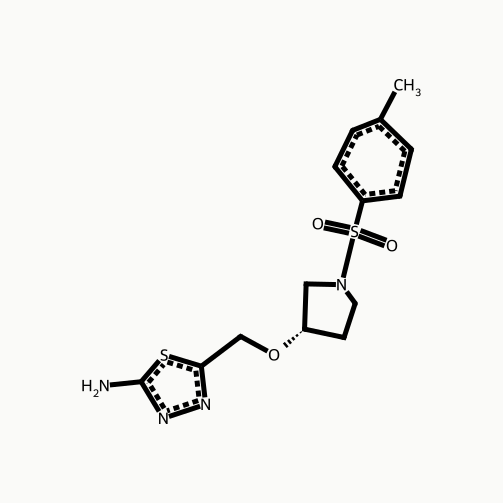 Cc1ccc(S(=O)(=O)N2CC[C@H](OCc3nnc(N)s3)C2)cc1